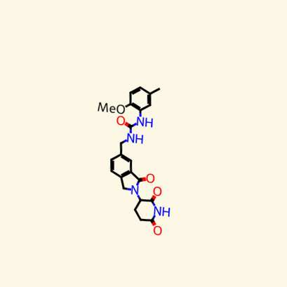 COc1ccc(C)cc1NC(=O)NCc1ccc2c(c1)C(=O)N(C1CCC(=O)NC1=O)C2